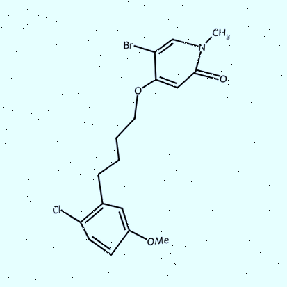 COc1ccc(Cl)c(CCCCOc2cc(=O)n(C)cc2Br)c1